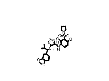 C=C(C)[C@@H](Nc1nsnc1Nc1ccc(Cl)c(S(=O)(=O)N2CCCC2)c1O)c1ccc2c(c1)OCO2